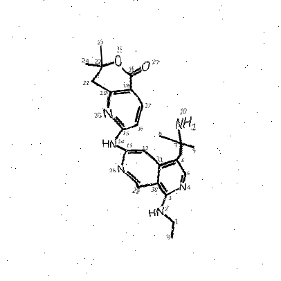 CCNc1ncc(C(C)(C)N)c2cc(Nc3ccc4c(n3)CC(C)(C)OC4=O)ncc12